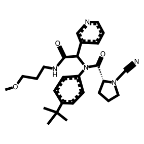 COCCCNC(=O)C(c1cccnc1)N(C(=O)[C@H]1CCCN1C#N)c1ccc(C(C)(C)C)cc1